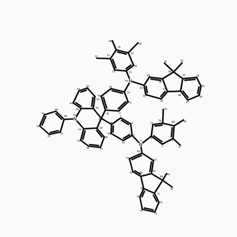 Cc1cc(N(c2ccc(C3(c4ccc(N(c5cc(C)c(C)c(C)c5)c5ccc6c(c5)C(C)(C)c5ccccc5-6)cc4)c4ccccc4N(c4ccccc4)c4ccccc43)cc2)c2ccc3c(c2)C(C)(C)c2ccccc2-3)cc(C)c1C